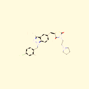 Cc1nn(Cc2ccc(Cl)cc2C(F)(F)F)c2ccc(C=C3SC(=O)N(CCN4CCCC4)C3=O)cc12